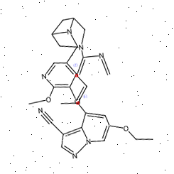 C=N/C(=C\C=C(/C)c1cc(OCC)cn2ncc(C#N)c12)N1CC2CC(C1)N2Cc1cnc(OC)c(Cl)c1